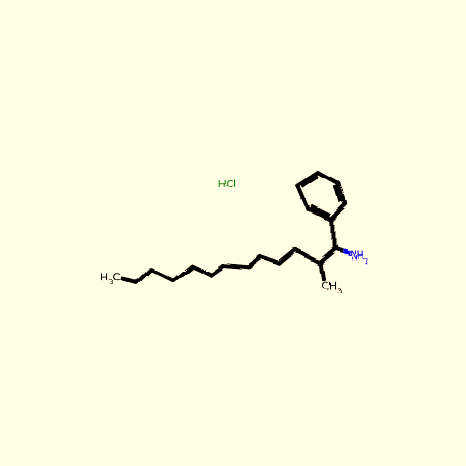 CCCCCCCCCCCC(C)C(N)c1ccccc1.Cl